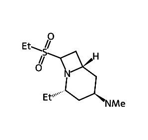 CC[C@H]1C[C@H](NC)C[C@H]2CC(S(=O)(=O)CC)N21